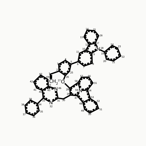 C=Cc1ccc(-c2ccc3c(c2)c2ccccc2n3-c2ccccc2)cc1Oc1c(Cc2nc(-c3ccccc3)c3ccccc3n2)c2c3ccccc3c3cccc1n32